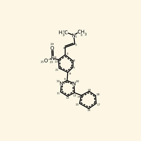 CN(C)C=Cc1ccc(-c2nccc(-c3ccccc3)n2)cc1[N+](=O)[O-]